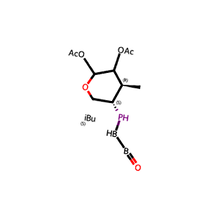 CC[C@H](C)C1OC(OC(C)=O)C(OC(C)=O)[C@@H](C)[C@@H]1PBB=O